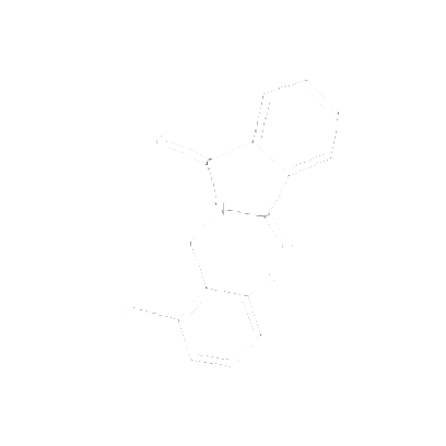 O=C1c2ccccc2C(=O)N1Cc1c(Cl)cccc1Cl